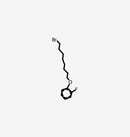 Fc1ccccc1OCCCCCCCCBr